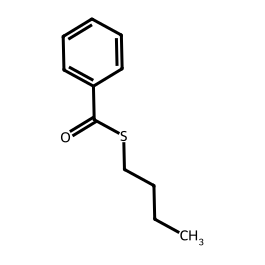 CCCCSC(=O)c1ccccc1